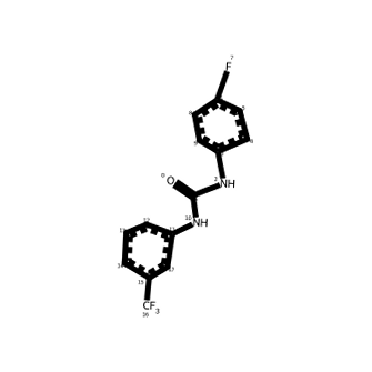 O=C(Nc1ccc(F)cc1)Nc1cccc(C(F)(F)F)c1